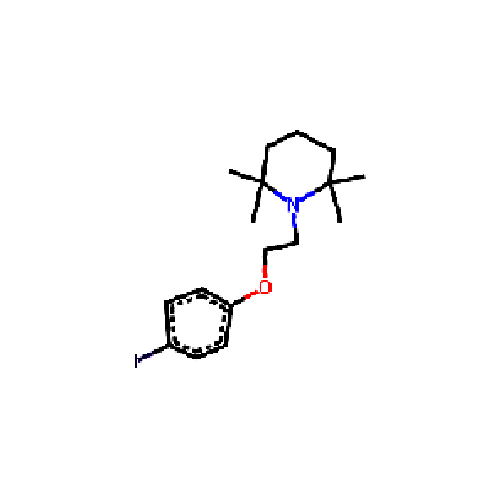 CC1(C)CCCC(C)(C)N1CCOc1ccc(I)cc1